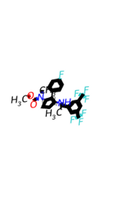 COC(=O)N(C)[C@H]1CC[C@H](N[C@H](C)c2cc(C(F)(F)F)cc(C(F)(F)F)c2)[C@@H]1c1ccc(F)cc1